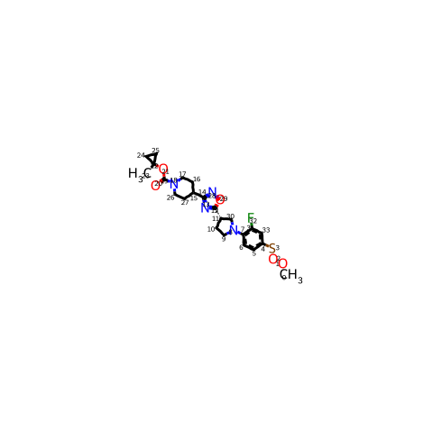 COOSc1ccc(N2CC[C@H](c3nc(C4CCN(C(=O)OC5(C)CC5)CC4)no3)C2)c(F)c1